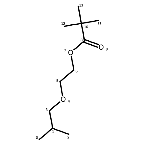 CC(C)COCCOC(=O)C(C)(C)C